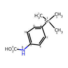 [CH3][Sn]([CH3])([CH3])[c]1ccc(NC(=O)O)cc1